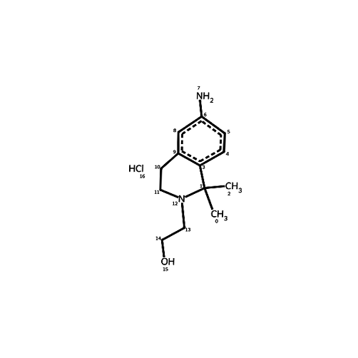 CC1(C)c2ccc(N)cc2CCN1CCO.Cl